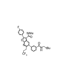 CNC(=O)c1c(-c2ccc(F)cc2)oc2nc(CCC(F)(F)F)c(-c3cccc(C(=O)NCC(C)(C)C)c3)cc12